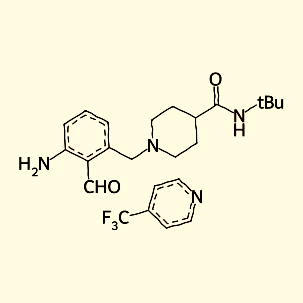 CC(C)(C)NC(=O)C1CCN(Cc2cccc(N)c2C=O)CC1.FC(F)(F)c1ccncc1